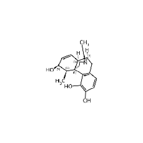 C[C@H]1[C@@H](O)C=C[C@H]2[C@H]3Cc4ccc(O)c(O)c4[C@@]12CCN3C